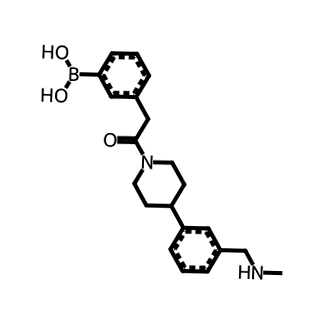 CNCc1cccc(C2CCN(C(=O)Cc3cccc(B(O)O)c3)CC2)c1